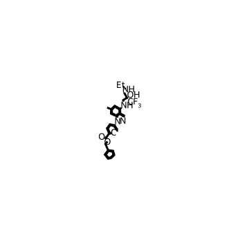 CCNCC(O)(CNc1cc(C)cc2c1cnn2-c1ccc(C(=O)OCc2ccccc2)cc1)C(F)(F)F